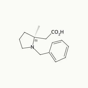 C[C@@]1(CC(=O)O)CCCN1Cc1ccccc1